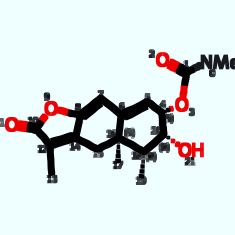 CNC(=O)O[C@H]1C=C2C=C3OC(=O)C(C)=C3C[C@]2(C)[C@@H](C)[C@H]1O